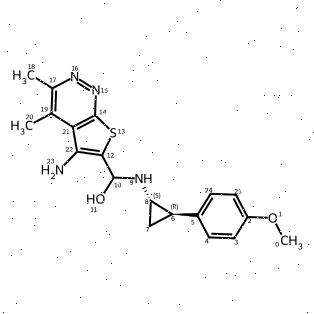 COc1ccc([C@H]2C[C@@H]2NC(O)c2sc3nnc(C)c(C)c3c2N)cc1